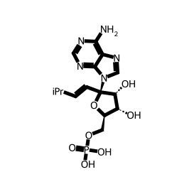 CC(C)C=C[C@@]1(n2cnc3c(N)ncnc32)O[C@H](COP(=O)(O)O)[C@@H](O)[C@H]1O